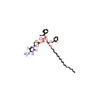 CCCCCCCCCCCCCCCCCCOC[C@H](COP(=O)(OC(C)c1ccccc1)O[C@@H]1O[C@@H](N2C=C(F)C(N)NC2=O)CS1)OCc1ccccc1